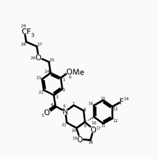 COc1cc(C(=O)N2CC[C@@]3(c4ccc(F)cc4)OCOC3C2)ccc1COCCC(F)(F)F